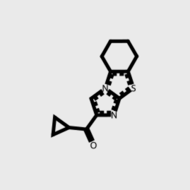 O=C(c1cn2c3c(sc2n1)CCCC3)C1CC1